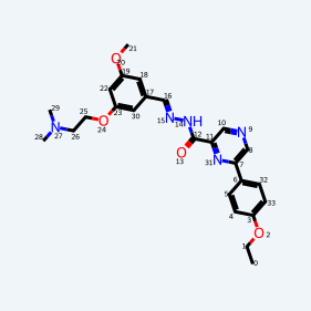 CCOc1ccc(-c2cncc(C(=O)N/N=C/c3cc(OC)cc(OCCN(C)C)c3)n2)cc1